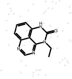 CCN1C(=O)Nc2cccc3ncnc1c23